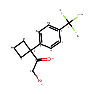 O=C(CBr)C1(c2ccc(C(F)(F)F)cc2)CCC1